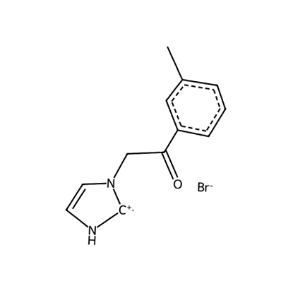 Cc1cccc(C(=O)CN2[C+]NC=C2)c1.[Br-]